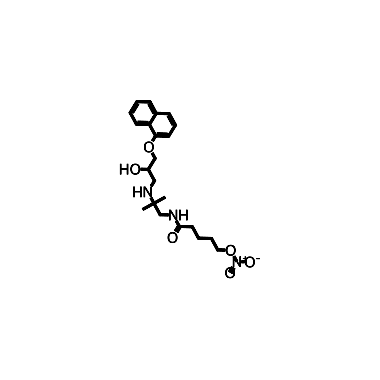 CC(C)(CNC(=O)CCCCO[N+](=O)[O-])NCC(O)COc1cccc2ccccc12